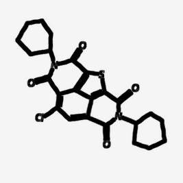 O=C1c2cc(Cl)c3c4c(sc(c24)C(=O)N1C1CCCCC1)C(=O)N(C1CCCCC1)C3=O